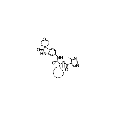 Cc1ncncc1C(=O)NC(C(=O)Nc1ccc2c(c1)NC(=O)C21CCOCC1)C1CCCCCCC1